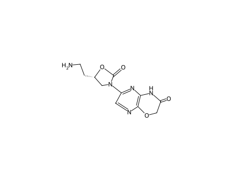 NCC[C@H]1CN(c2cnc3c(n2)NC(=O)CO3)C(=O)O1